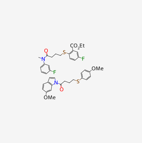 CCOC(=O)c1cc(F)ccc1SCCCC(=O)N(C)c1cccc(F)c1.COc1ccc(SCCCC(=O)n2ccc3ccc(OC)cc32)cc1